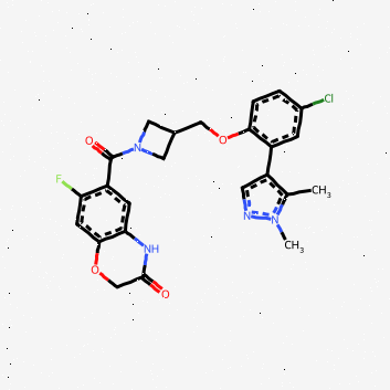 Cc1c(-c2cc(Cl)ccc2OCC2CN(C(=O)c3cc4c(cc3F)OCC(=O)N4)C2)cnn1C